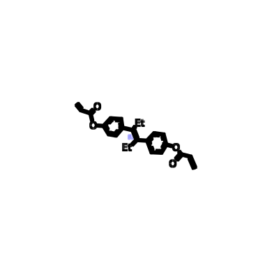 C=CC(=O)Oc1ccc(/C(CC)=C(\CC)c2ccc(OC(=O)C=C)cc2)cc1